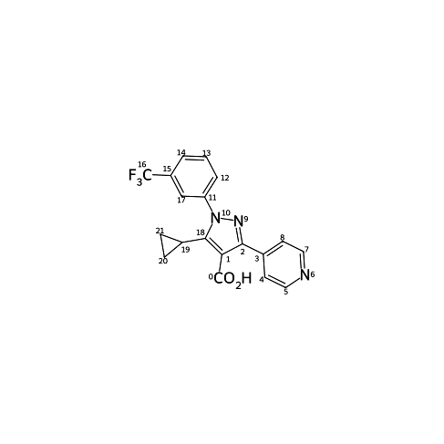 O=C(O)c1c(-c2ccncc2)nn(-c2cccc(C(F)(F)F)c2)c1C1CC1